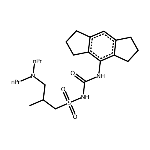 CCCN(CCC)CC(C)CS(=O)(=O)NC(=O)Nc1c2c(cc3c1CCC3)CCC2